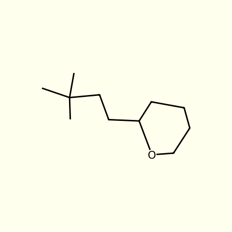 CC(C)(C)CCC1CCCCO1